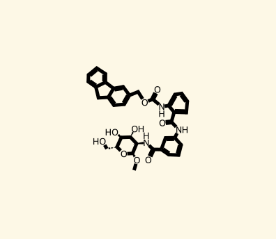 CO[C@H]1O[C@H](CO)[C@@H](O)[C@H](O)[C@H]1NC(=O)c1cccc(NC(=O)c2ccccc2NC(=O)OCc2ccc3c(c2)-c2ccccc2C3)c1